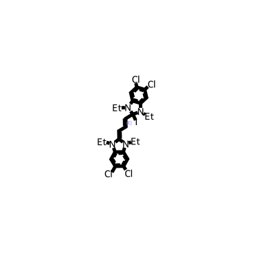 CCN1C(=C/C=C/C2(I)N(CC)c3cc(Cl)c(Cl)cc3N2CC)N(CC)c2cc(Cl)c(Cl)cc21